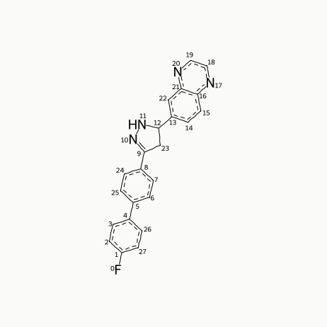 Fc1ccc(-c2ccc(C3=NNC(c4ccc5nccnc5c4)C3)cc2)cc1